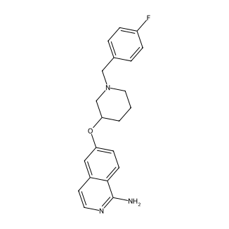 Nc1nccc2cc(OC3CCCN(Cc4ccc(F)cc4)C3)ccc12